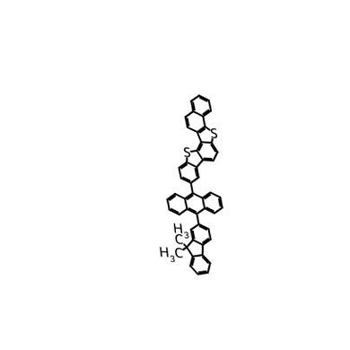 CC1(C)c2ccccc2-c2ccc(-c3c4ccccc4c(-c4ccc5sc6c(ccc7sc8c9ccccc9ccc8c76)c5c4)c4ccccc34)cc21